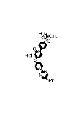 CCCc1cnc(N2CCC(Oc3ccn(-c4ccc(S(=O)(=O)N(C)C)cc4)c(=O)c3)CC2)nc1.Cl